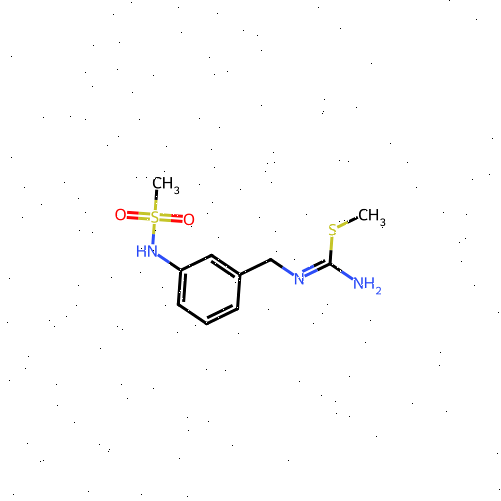 CS/C(N)=N\Cc1cccc(NS(C)(=O)=O)c1